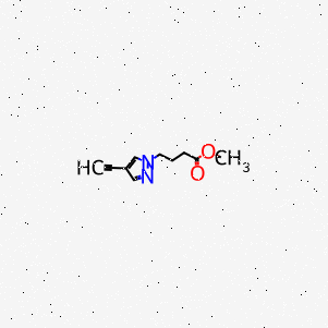 C#Cc1cnn(CCCC(=O)OC)c1